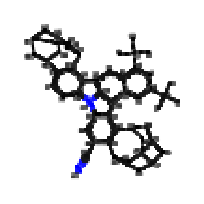 CC(C)(C)c1cc(C(C)(C)C)c2cc3c4c5c(ccc4n4c6cc(C#N)c7c(c6c(c2c1)c34)C1CC2CC3CC7CC32C1)C1CC2CC(C1)CC5C2